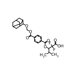 CC(C)C(OC(=O)c1ccc(C(=O)OCOC2C3CC4CC(C3)CC2C4)cc1)C(F)(F)C(=O)O